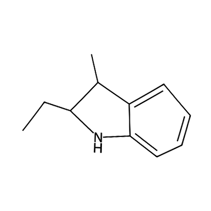 CCC1Nc2ccccc2C1C